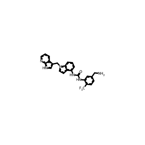 NCc1ccc(C(F)(F)F)c(NC(=O)Nc2cccc3c2ccn3Cc2c[nH]c3ncccc23)c1